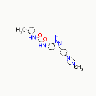 Cc1cccc(NC(=O)CC(=O)Nc2ccc3c(-c4ccc(N5CCN(C)CC5)cc4)n[nH]c3c2)c1